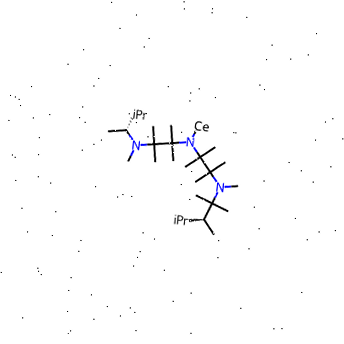 CC(C)[C@@H](C)N(C)C(C)(C)C(C)(C)[N]([Ce])C(C)(C)C(C)(C)N(C)C(C)(C)[C@@H](C)C(C)C